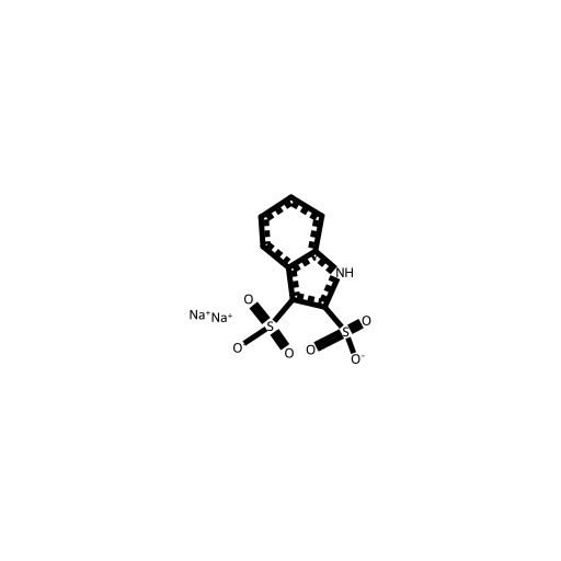 O=S(=O)([O-])c1[nH]c2ccccc2c1S(=O)(=O)[O-].[Na+].[Na+]